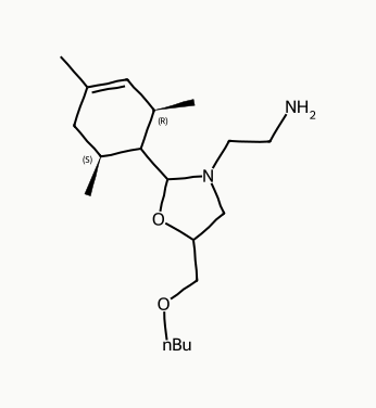 CCCCOCC1CN(CCN)C(C2[C@H](C)C=C(C)C[C@@H]2C)O1